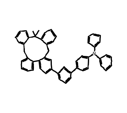 CC1(C)c2ccccc2Cc2ccccc2-c2ccc(-c3cccc(-c4ccc(N(c5ccccc5)c5ccccc5)cc4)c3)cc2Cc2ccccc21